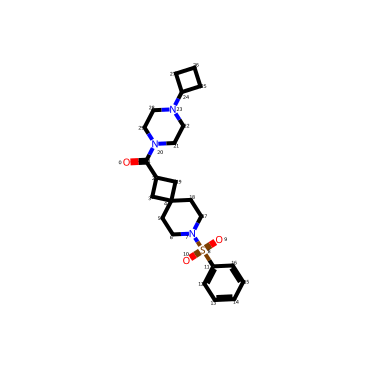 O=C(C1CC2(CCN(S(=O)(=O)c3ccccc3)CC2)C1)N1CCN(C2CCC2)CC1